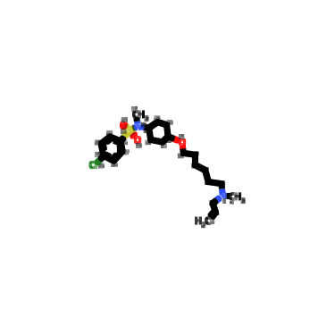 C=CCN(C)CCCCCCOC1CCC(N(C)S(=O)(=O)c2ccc(Cl)cc2)CC1